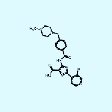 CN1CCN(Cc2ccc(C(=O)Nc3sc(-c4ccncc4Br)nc3C(=O)O)cc2)CC1